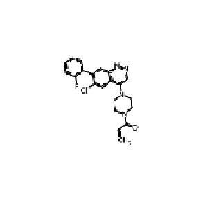 C=CC(=O)N1CCN(c2cnnc3cc(-c4ccccc4F)c(Cl)cc23)CC1